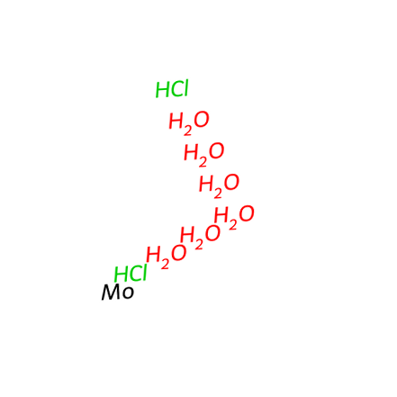 Cl.Cl.O.O.O.O.O.O.[Mo]